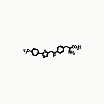 NC(Cc1ccc(NCc2csc(-c3ccc(C(F)(F)F)cc3)n2)cc1)C(=O)O